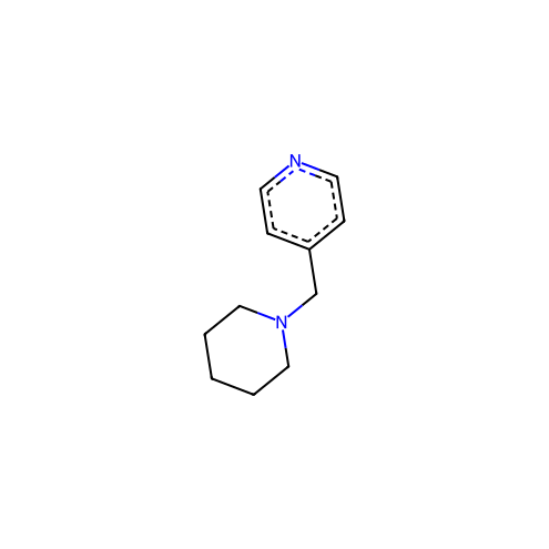 c1cc(CN2CCCCC2)ccn1